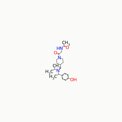 CC(=O)NCC(=O)N1CCC(CN(C(C)C)C(C)c2ccc(O)cc2)CC1